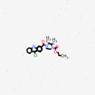 CCCOC(=O)N1CCN(C(=O)c2ccc3c(Cl)c4c(nc3c2)CCCC4)C(C)C1C